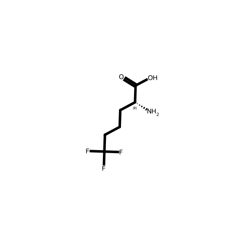 N[C@H](CCCC(F)(F)F)C(=O)O